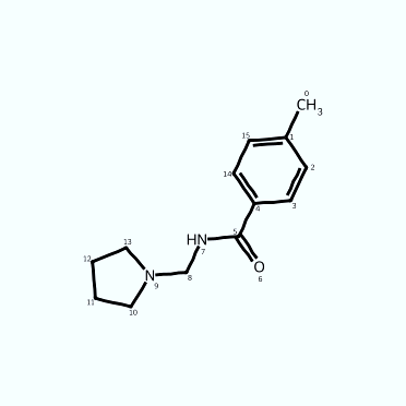 Cc1ccc(C(=O)NCN2CCCC2)cc1